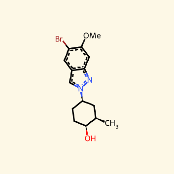 COc1cc2nn([C@@H]3CC[C@H](O)[C@H](C)C3)cc2cc1Br